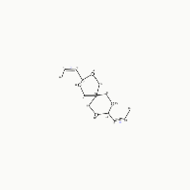 C/C=C\C1OCC2(CO1)COC(/C=C\C)OC2